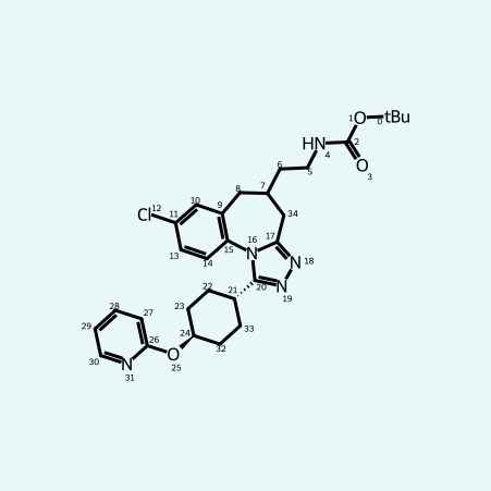 CC(C)(C)OC(=O)NCCC1Cc2cc(Cl)ccc2-n2c(nnc2[C@H]2CC[C@H](Oc3ccccn3)CC2)C1